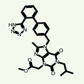 COC(=O)Cn1c(=O)n(CC(C)C)c(=O)c2c1nc(C)n2Cc1ccc(-c2ccccc2-c2nnn[nH]2)cc1